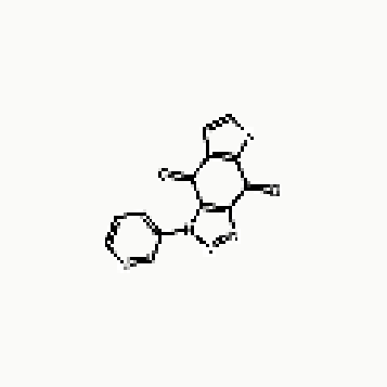 O=C1c2nnn(-c3cccnc3)c2C(=O)c2ccsc21